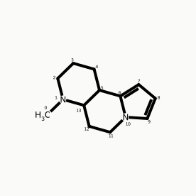 CN1CCCC2c3cccn3CCC21